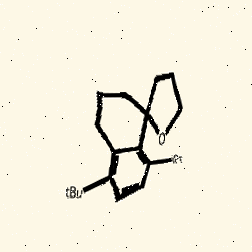 CC(C)c1ccc(C(C)(C)C)c2c1C1(CCCO1)CCC2